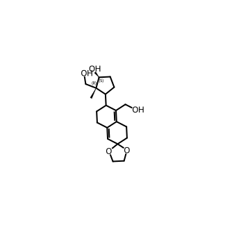 C[C@]1(CO)C(C2CCC3=CC4(CCC3=C2CO)OCCO4)CC[C@@H]1O